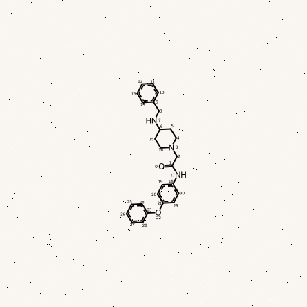 O=C(CN1CCC(NCc2ccccc2)CC1)Nc1ccc(Oc2ccccc2)cc1